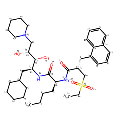 CCCC[C@H](NC(=O)[C@H](Cc1cccc2ccccc12)CS(=O)(=O)CC)C(=O)N[C@@H](CC1CCCCC1)[C@@H](O)[C@H](O)CN1CCCCC1